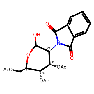 CC(=O)OC[C@H]1OC(O)[C@H](N2C(=O)c3ccccc3C2=O)[C@@H](OC(C)=O)[C@@H]1OC(C)=O